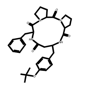 CC(C)(C)Oc1ccc(CC2CC(=O)NC(Cc3ccccc3)C(=O)N3CCCC3C(=O)N3CCCC3C(=O)N2)cc1